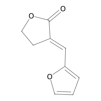 O=C1OCC/C1=C\c1ccco1